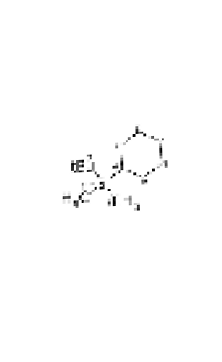 CC(C)(C)[Si](C)(C)C1CCCCC1